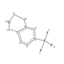 FC(F)(F)c1ccc2c(c1)[CH]COC2